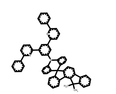 CC1(C)c2ccccc2-c2ccc3c(c21)-c1ccccc1C31c2ccccc2N(c2cc(-c3cccc(-c4ccccc4)n3)cc(-c3cccc(-c4ccccc4)n3)c2)c2ccccc21